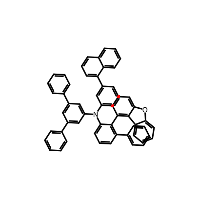 c1ccc(-c2cc(-c3ccccc3)cc(N(c3cccc(-c4cccc5ccccc45)c3)c3cccc(-c4ccccc4)c3-c3cccc4oc5ccccc5c34)c2)cc1